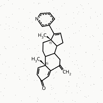 C=C1CC2C(CC[C@]3(C)C(c4cccnc4)=CCC23)[C@@]2(C)C=CC(=O)C=C12